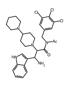 CC(=O)N(Cc1cc(Cl)c(Cl)c(Cl)c1)C(=O)C(C(N)c1c[nH]c2ccccc12)N1CCC(N2CCCCC2)CC1